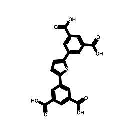 O=C(O)c1cc(C(=O)O)cc(-c2ccc(-c3cc(C(=O)O)cc(C(=O)O)c3)s2)c1